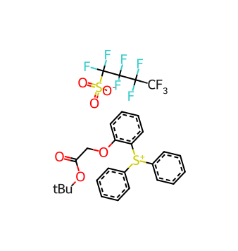 CC(C)(C)OC(=O)COc1ccccc1[S+](c1ccccc1)c1ccccc1.O=S(=O)([O-])C(F)(F)C(F)(F)C(F)(F)C(F)(F)F